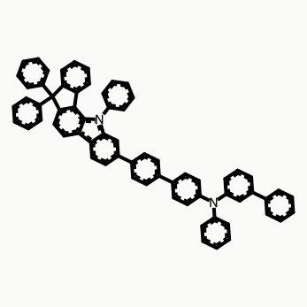 c1ccc(-c2cccc(N(c3ccccc3)c3ccc(-c4ccc(-c5ccc6c7ccc8c(c7n(-c7ccccc7)c6c5)-c5ccccc5C8(c5ccccc5)c5ccccc5)cc4)cc3)c2)cc1